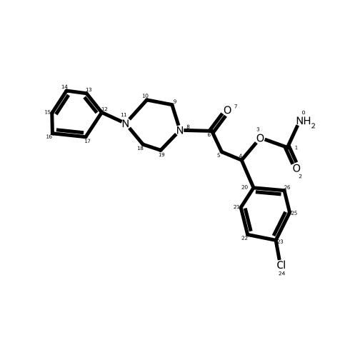 NC(=O)OC(CC(=O)N1CCN(c2ccccc2)CC1)c1ccc(Cl)cc1